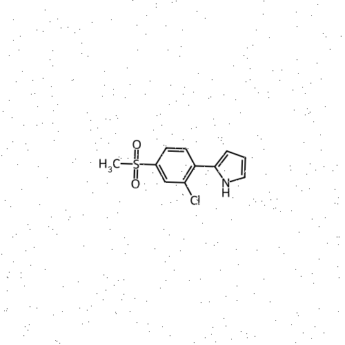 CS(=O)(=O)c1ccc(-c2ccc[nH]2)c(Cl)c1